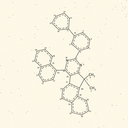 CC1(C)c2nc(-c3cccc(-c4ccccc4)c3)nc(-c3cccc4ccccc34)c2-c2ccc3ccccc3c21